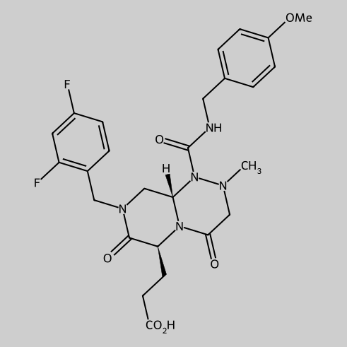 COc1ccc(CNC(=O)N2[C@H]3CN(Cc4ccc(F)cc4F)C(=O)[C@H](CCC(=O)O)N3C(=O)CN2C)cc1